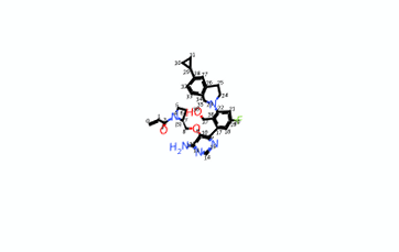 C=CC(=O)N1CC[C@H]1COc1c(N)ncnc1-c1cc(F)cc(N2CCc3cc(C4CC4)ccc3C2)c1CO